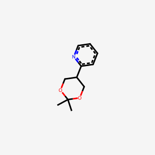 CC1(C)OCC(c2ccccn2)CO1